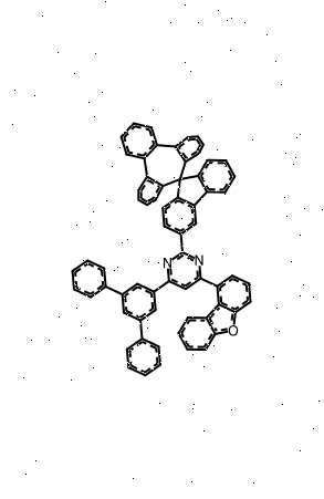 c1ccc(-c2cc(-c3ccccc3)cc(-c3cc(-c4cccc5oc6ccccc6c45)nc(-c4ccc5c(c4)-c4ccccc4C54c5ccccc5-c5ccccc5-c5ccccc54)n3)c2)cc1